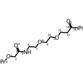 CC(C)OCC(=O)NCCOCCOCCC(=O)C(C)C